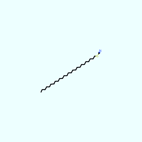 CCCCCCCCCCCCCCCCCCCCCCCCCCSC#N